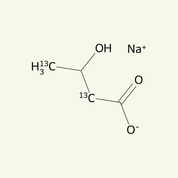 [13CH3]C(O)[13CH2]C(=O)[O-].[Na+]